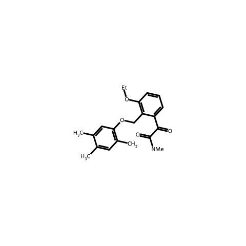 CCOc1cccc(C(=O)C(=O)NC)c1COc1cc(C)c(C)cc1C